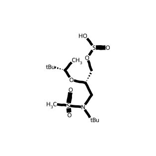 C[C@H](O[C@H](COS(=O)O)CN(C(C)(C)C)S(C)(=O)=O)C(C)(C)C